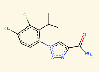 CC(C)c1c(-n2cc(C(N)=O)nn2)ccc(Cl)c1F